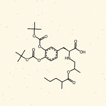 CCCC(C)C(=O)OC(C)CN[C@@H](Cc1ccc(OC(=O)OC(C)(C)C)c(OC(=O)OC(C)(C)C)c1)C(=O)O